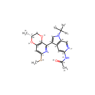 [2H]C([2H])([2H])n1cc(-c2nc(SC)cc3c2OC[C@@H](C)O3)c2cc(NC(C)=O)ncc21